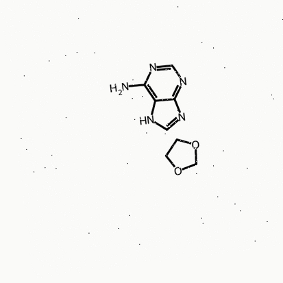 C1COCO1.Nc1ncnc2nc[nH]c12